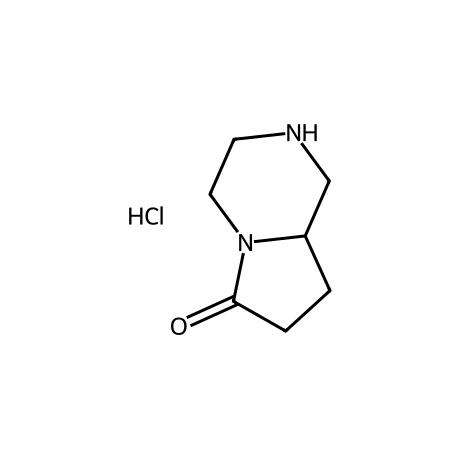 Cl.O=C1CCC2CNCCN12